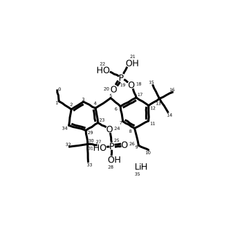 CCc1cc(Cc2cc(CC)cc(C(C)(C)C)c2OP(=O)(O)O)c(OP(=O)(O)O)c(C(C)(C)C)c1.[LiH]